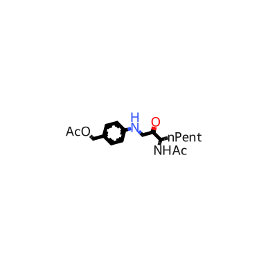 CCCCCC(NC(C)=O)C(=O)CNc1ccc(COC(C)=O)cc1